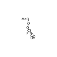 COCCOCCOc1ccc(N2CCC3(CC2)OCCO3)c(F)c1